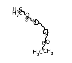 CC(C)=CCOC(=O)CCN1CCC(CCCC2CCN(CCC(=O)OCC=C(C)C)CC2)CC1